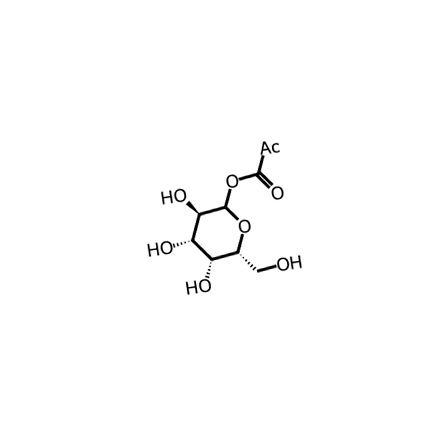 CC(=O)C(=O)OC1O[C@H](CO)[C@H](O)[C@H](O)[C@H]1O